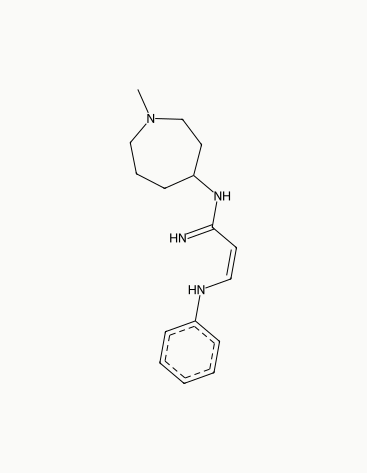 CN1CCCC(NC(=N)/C=C\Nc2ccccc2)CC1